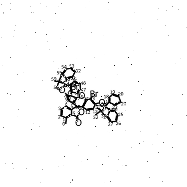 Cc1cccc2c1C(=O)OC21c2ccc(O[Si](c3ccccc3)(c3ccccc3)C(C)(C)C)c(Br)c2Oc2c1ccc(O[Si](c1ccccc1)(c1ccccc1)C(C)(C)C)c2Br